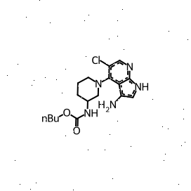 CCCCOC(=O)NC1CCCN(c2c(Cl)cnc3[nH]cc(N)c23)C1